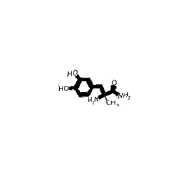 C[C@](N)(Cc1ccc(O)c(O)c1)C(N)=O